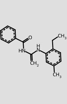 C=C(NC(=O)c1ccccc1)Nc1cc(C)ccc1CC